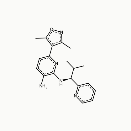 Cc1noc(C)c1-c1ccc(N)c(N[C@H](c2ccccn2)C(C)C)n1